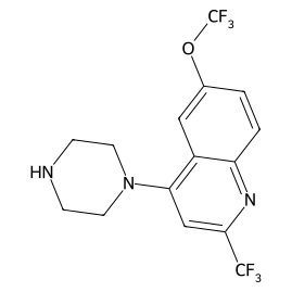 FC(F)(F)Oc1ccc2nc(C(F)(F)F)cc(N3CCNCC3)c2c1